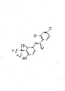 CC(C)(C)c1cc(OC(=O)c2ccc(Cl)cc2Cl)ccc1O